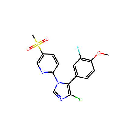 COc1ccc(-c2c(Cl)ncn2-c2ccc(S(C)(=O)=O)cn2)cc1F